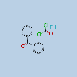 F.O=C(Cl)Cl.O=C(c1ccccc1)c1ccccc1